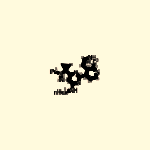 CCCCCCNc1cc(C2(S(=N)C(C)C)CC2)nc(-c2ccnc(C)c2/C=C\N)n1